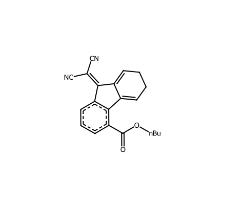 CCCCOC(=O)c1cccc2c1C1=CCCC=C1C2=C(C#N)C#N